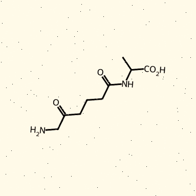 CC(NC(=O)CCCC(=O)CN)C(=O)O